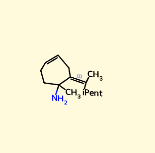 CCCC(C)/C(C)=C1/CC=CCCC1(C)N